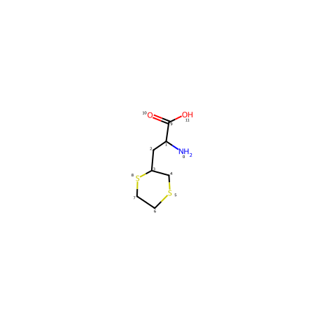 NC(CC1CSCCS1)C(=O)O